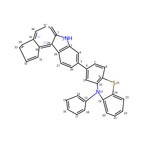 C=c1[nH]c2cc(-c3ccc4c(c3)N(c3ccccc3)c3ccccc3S4)ccc2/c1=c1\cccc\c1=C\C